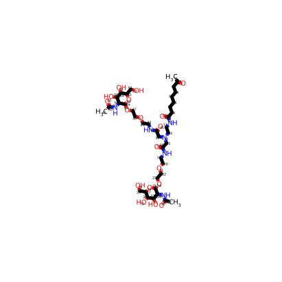 CC(=O)CCCCCCC(=O)NCCN(CC(=O)NCCOCCOC1OC(CO)C(O)C(O)C1NC(C)=O)CC(=O)NCCOCCOC1OC(CO)C(O)C(O)C1NC(C)=O